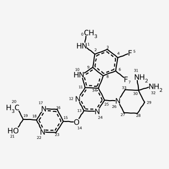 CNc1cc(F)c(F)c2c1[nH]c1nc(Oc3cnc(C(C)O)nc3)nc(N3CCCC(N)(N)C3)c12